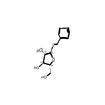 OC[C@H]1O[C@H](OCc2ccccc2)[C@@H](O)[C@@H]1O